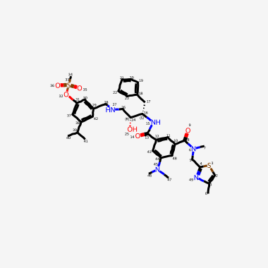 Cc1csc(CN(C)C(=O)c2cc(C(=O)N[C@@H](Cc3ccccc3)[C@H](O)CNCc3cc(OS(C)(=O)=O)cc(C(C)C)c3)cc(N(C)C)c2)n1